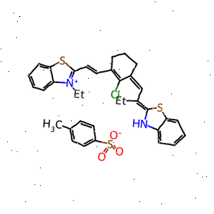 CCC(C=C1CCCC(C=Cc2sc3ccccc3[n+]2CC)=C1Cl)=C1Nc2ccccc2S1.Cc1ccc(S(=O)(=O)[O-])cc1